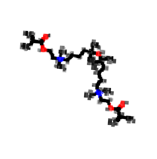 C=C(C)C(=O)OCC[N+]([CH2-])(C)CCCC[Si](C)(C)O[Si](C)(C)CCCC[N+](C)(C)CCOC(=O)C(=C)C